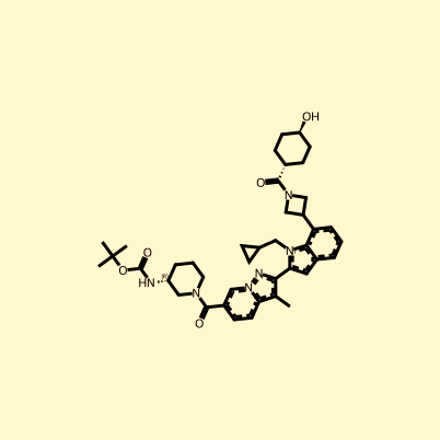 Cc1c(-c2cc3cccc(C4CN(C(=O)[C@H]5CC[C@H](O)CC5)C4)c3n2CC2CC2)nn2cc(C(=O)N3CCC[C@@H](NC(=O)OC(C)(C)C)C3)ccc12